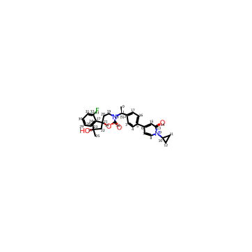 C[C@@H](c1ccc(-c2ccn(C3CC3)c(=O)c2)cc1)N1CCC(CC(C)(C)O)(c2ccccc2F)OC1=O